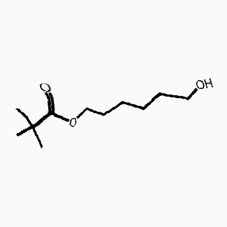 CC(C)(C)C(=O)OCCCCCCO